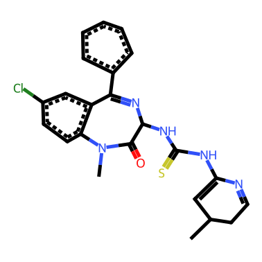 CC1C=C(NC(=S)NC2N=C(c3ccccc3)c3cc(Cl)ccc3N(C)C2=O)N=CC1